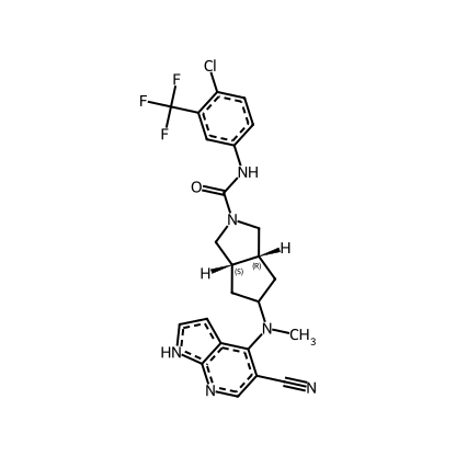 CN(c1c(C#N)cnc2[nH]ccc12)C1C[C@@H]2CN(C(=O)Nc3ccc(Cl)c(C(F)(F)F)c3)C[C@@H]2C1